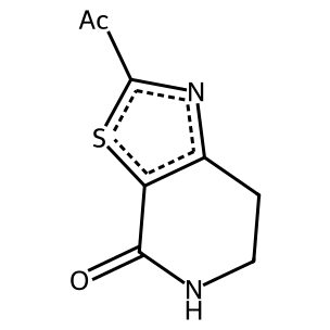 CC(=O)c1nc2c(s1)C(=O)NCC2